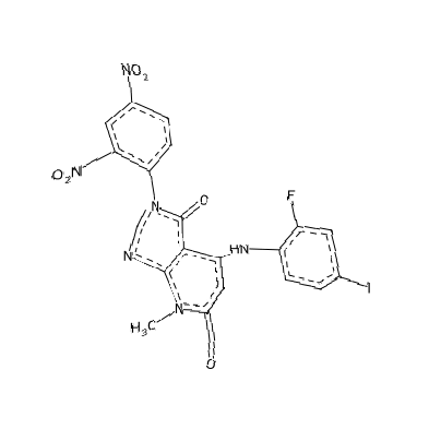 Cn1c(=O)cc(Nc2ccc(I)cc2F)c2c(=O)n(-c3ccc([N+](=O)[O-])cc3[N+](=O)[O-])cnc21